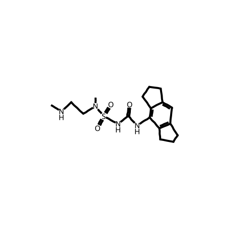 CNCCN(C)S(=O)(=O)NC(=O)Nc1c2c(cc3c1CCC3)CCC2